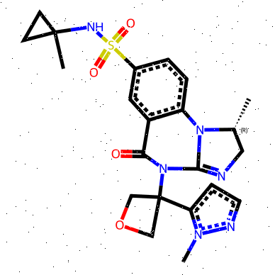 C[C@@H]1CN=C2N1c1ccc(S(=O)(=O)NC3(C)CC3)cc1C(=O)N2C1(c2ccnn2C)COC1